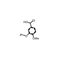 CCC(O)c1ccc(OC)c(OC(C)C)c1